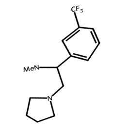 CNC(CN1CCCC1)c1cccc(C(F)(F)F)c1